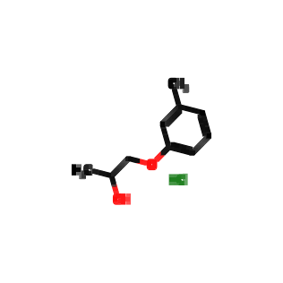 Cc1cccc(OCC(C)O)c1.Cl